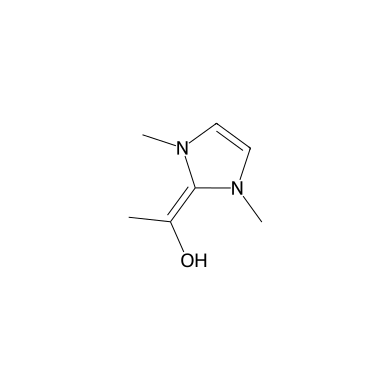 CC(O)=C1N(C)C=CN1C